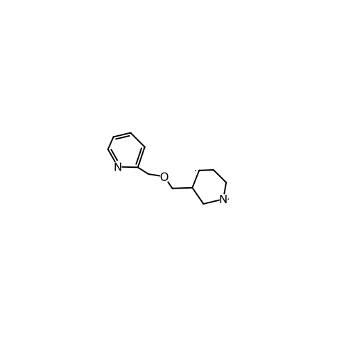 [CH]1CC[N]CC1COCc1ccccn1